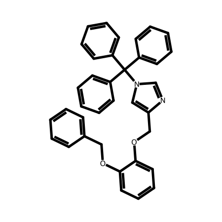 c1ccc(COc2ccccc2OCc2cn(C(c3ccccc3)(c3ccccc3)c3ccccc3)cn2)cc1